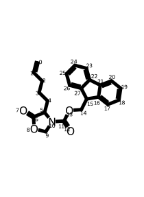 C=CCCCC1C(=O)OCN1C(=O)OCC1c2ccccc2-c2ccccc21